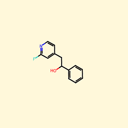 OC(Cc1ccnc(F)c1)c1ccccc1